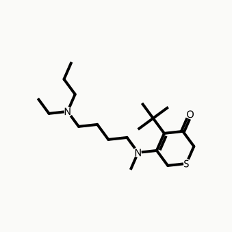 CCCN(CC)CCCCN(C)C1=C(C(C)(C)C)C(=O)CSC1